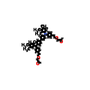 Cc1ccc(C(c2ccc(CCOCC3CO3)cc2)c2ccc(-c3ccc(N(c4ccc(CCOCC5CO5)cc4)c4ccc(C)c(C)c4)c(C)c3)cc2C)cc1C